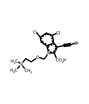 C[Si](C)(C)CCOCn1c(C(=O)O)c(C#CBr)c2c(Cl)cc(Cl)cc21